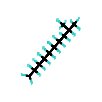 FC(F)C(F)(F)C(F)(F)C(F)(F)C(F)(F)C(F)(F)C(F)(F)C(F)(F)C(F)(C(F)(F)F)C(F)(F)F